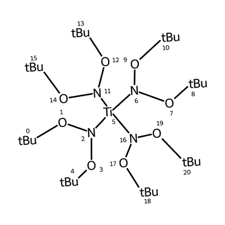 CC(C)(C)O[N](OC(C)(C)C)[Ti]([N](OC(C)(C)C)OC(C)(C)C)([N](OC(C)(C)C)OC(C)(C)C)[N](OC(C)(C)C)OC(C)(C)C